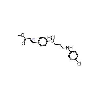 COC(=O)/C=C/c1ccc(OCCCNc2ccc(Cl)cc2)cc1.Cl